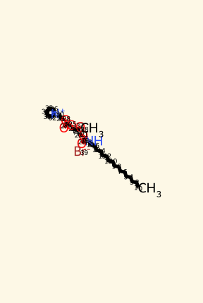 CCCCCCCCCCCCCCCCCCNC(=O)OC[C@@H](COC(=O)OCC[n+]1ccccc1)OC.[Br-]